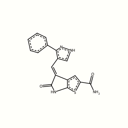 NC(=O)c1cc2c(s1)NC(=O)C2=Cc1c[nH]nc1-c1ccccc1